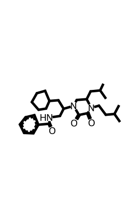 CC(C)CCN1C(=O)C(=O)N(C(CNC(=O)c2ccccc2)CC2CCCCC2)CC1CC(C)C